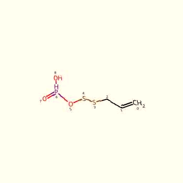 C=CCSSO[PH](=O)O